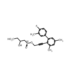 Cc1cc(C)c(C#CCO[PH](=O)CC(O)CC(=O)O)c(-c2ccc(F)c(C)c2)c1